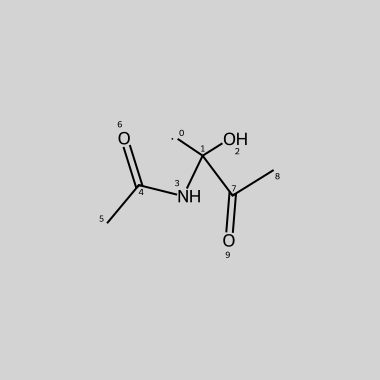 [CH2]C(O)(NC(C)=O)C(C)=O